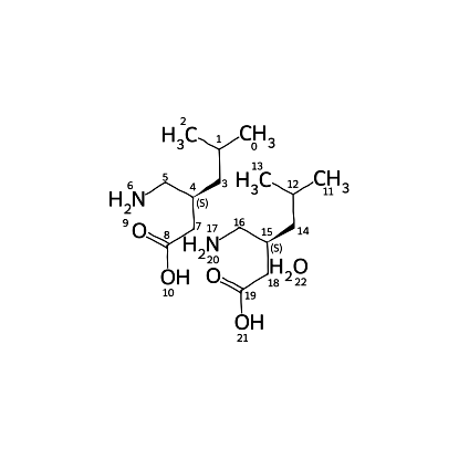 CC(C)C[C@H](CN)CC(=O)O.CC(C)C[C@H](CN)CC(=O)O.O